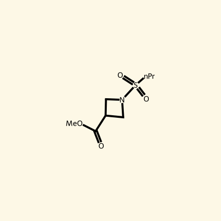 CCCS(=O)(=O)N1CC(C(=O)OC)C1